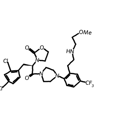 COCCNCCc1cc(C(F)(F)F)ccc1N1CCN(C(=O)[C@@H](Cc2ccc(Cl)cc2Cl)N2CCOC2=O)CC1